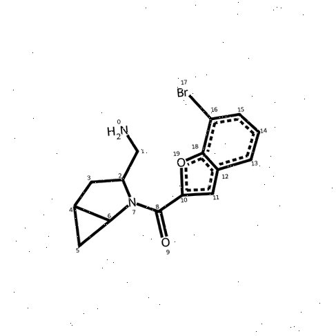 NCC1CC2CC2N1C(=O)c1cc2cccc(Br)c2o1